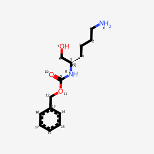 NCCCC[C@@H](CO)NC(=O)OCc1ccccc1